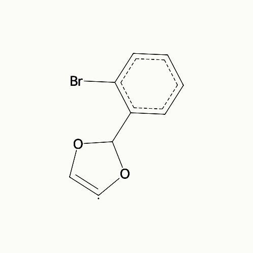 Brc1ccccc1C1O[C]=CO1